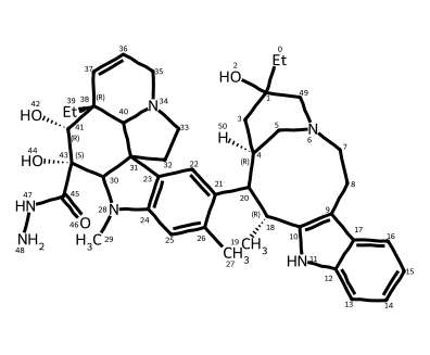 CCC1(O)C[C@H]2CN(CCc3c([nH]c4ccccc34)[C@H](C)C2c2cc3c(cc2C)N(C)C2C34CCN3CC=C[C@](CC)(C34)[C@@H](O)[C@]2(O)C(=O)NN)C1